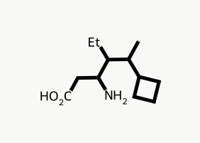 CCC(C(N)CC(=O)O)C(C)C1CCC1